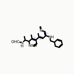 C=CC(/C(C)=C/C(=C\N=C)NCC1C=CC=CC1)=C(/C)C(NC)C(C)NC=O